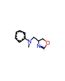 CN(CC1CO[C]=N1)c1ccccc1